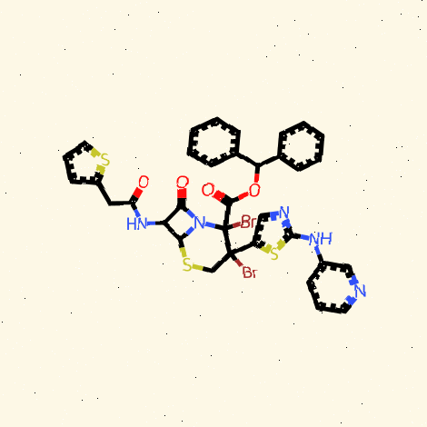 O=C(Cc1cccs1)NC1C(=O)N2C1SCC(Br)(c1cnc(Nc3cccnc3)s1)C2(Br)C(=O)OC(c1ccccc1)c1ccccc1